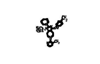 FC(F)(F)c1ccc(Nc2nc(N3CCCCC3)nc3c2CCN(c2ncccc2C(F)(F)F)CC3)cc1.O=S(=O)(O)O